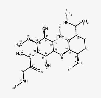 CNC(C)[C@@H]1CC[C@@H](NF)[C@@H](OC2[C@@H](NF)[C@H](O)[C@H](OC)[C@@H](N(C)C(=O)CNF)[C@H]2O)O1